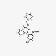 CCCCOc1ccc(Br)cc1[C@H](CC(=O)OCc1ccccc1)c1ccccc1